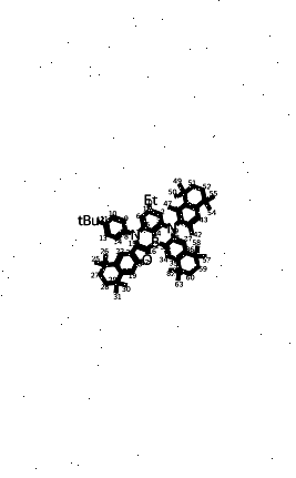 CCc1cc2c3c(c1)N(c1ccc(C(C)(C)C)cc1)c1c(oc4cc5c(cc14)C(C)(C)CCC5(C)C)B3c1cc3c(cc1N2c1c(C)cc2c(c1C)C(C)(C)CCC2(C)C)C(C)(C)CCC3(C)C